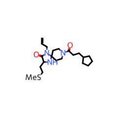 C=CCN1C(=O)C(CCSC)NC12CCN(C(=O)CCC1CCCC1)CC2